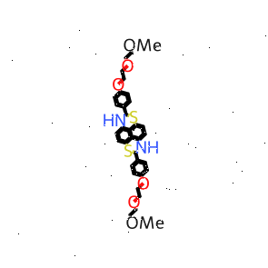 COCCOCCOc1ccc(C2Nc3ccc4c5c(ccc(c35)S2)NC(c2ccc(OCCOCCOC)cc2)S4)cc1